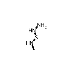 CNSNN